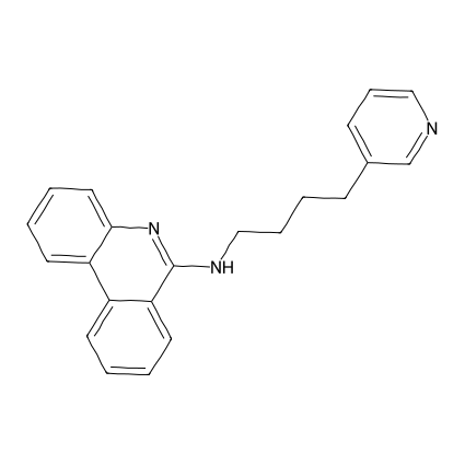 c1cncc(CCCCNc2nc3ccccc3c3ccccc23)c1